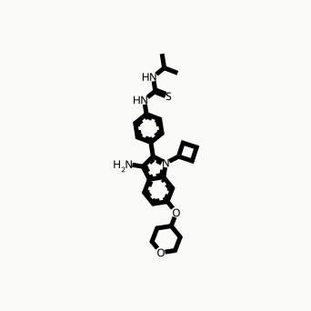 CC(C)NC(=S)Nc1ccc(-c2c(N)c3ccc(OC4CCOCC4)cc3n2C2CCC2)cc1